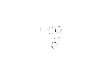 CC1(c2ccccn2)Sc2ccccc2N(CC(=O)O)C1=O